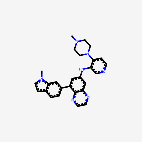 CN1CCN(c2ccncc2Nc2cc(-c3ccc4ccn(C)c4c3)c3nccnc3c2)CC1